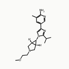 COCCN1C[C@@H]2[C@H](C1)[C@H]2n1cc(-c2cnc(N)c(C)c2)nc1C(C)C